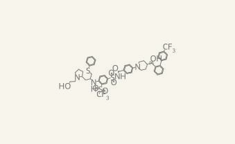 O=C(NS(=O)(=O)c1ccc(NC(CSc2ccccc2)CC2CCCN2CCO)c(S(=O)(=O)C(F)(F)F)c1)c1ccc(N2CCC([C@@H](O)c3ccccc3-c3ccc(C(F)(F)F)cc3)CC2)cc1